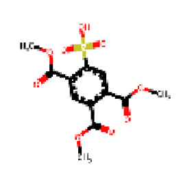 COC(=O)c1cc(C(=O)OC)c(S(=O)(=O)O)cc1C(=O)OC